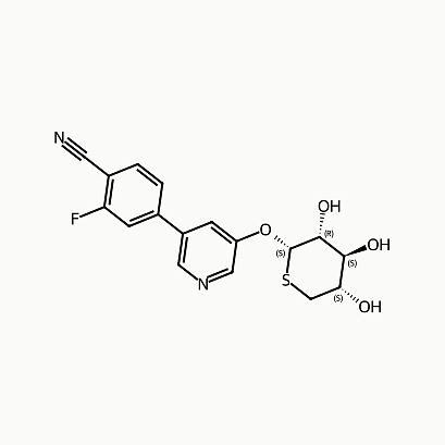 N#Cc1ccc(-c2cncc(O[C@H]3SC[C@@H](O)[C@H](O)[C@H]3O)c2)cc1F